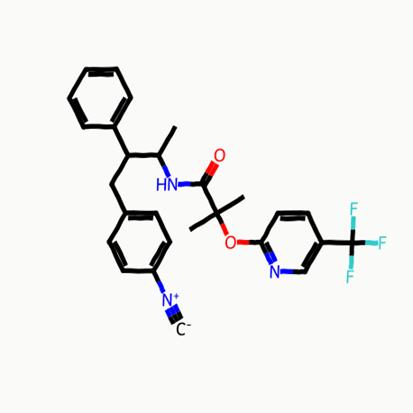 [C-]#[N+]c1ccc(CC(c2ccccc2)C(C)NC(=O)C(C)(C)Oc2ccc(C(F)(F)F)cn2)cc1